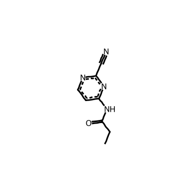 CCC(=O)Nc1ccnc(C#N)n1